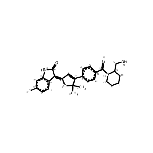 CC1(C)O/C(=C2/C(=O)Nc3cc(F)ccc32)C=C1c1ccc(C(=O)N2CCCCC2CO)cc1